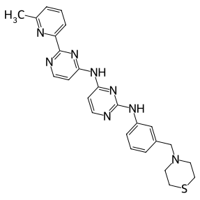 Cc1cccc(-c2nccc(Nc3ccnc(Nc4cccc(CN5CCSCC5)c4)n3)n2)n1